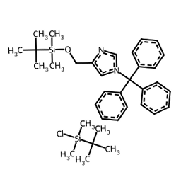 CC(C)(C)[Si](C)(C)Cl.CC(C)(C)[Si](C)(C)OCc1cn(C(c2ccccc2)(c2ccccc2)c2ccccc2)cn1